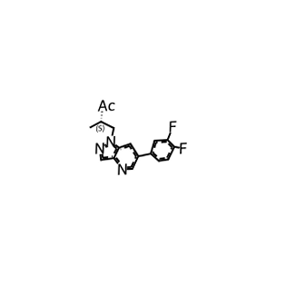 CC(=O)[C@@H](C)Cn1ncc2ncc(-c3ccc(F)c(F)c3)cc21